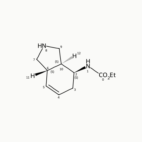 CCOC(=O)N[C@H]1CC=C[C@@H]2CNC[C@H]21